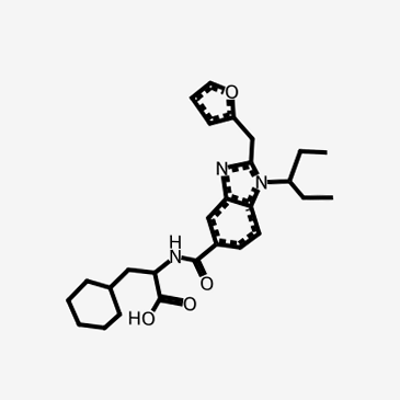 CCC(CC)n1c(Cc2ccco2)nc2cc(C(=O)NC(CC3CCCCC3)C(=O)O)ccc21